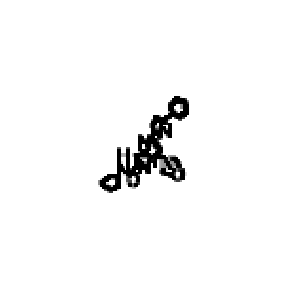 O=C(NC1CCCC1)c1cc2nc(-n3ccc(-c4ccccc4)n3)cc(N3CCOCC3)n2n1